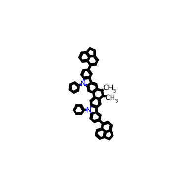 CC1c2cc3c4cc(-c5ccc6c7c(cccc57)CC6)ccc4n(-c4ccccc4)c3cc2-c2cc3c(cc2C1C)c1cc(-c2ccc4c5c(cccc25)CC4)ccc1n3-c1ccccc1